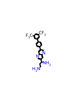 NCCC(N)c1cnc2cc(-c3ccc(-c4cc(C(F)(F)F)cc(C(F)(F)F)c4)cc3)cnc2c1